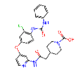 O=C(CC1CCN(C(=O)O)CC1)Nc1cc(Oc2ccc(NC(=O)Nc3ccccc3)c(Cl)c2)ccn1